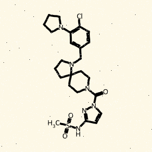 CS(=O)(=O)Nc1ccn(C(=O)N2CCC3(CCCN3Cc3ccc(Cl)c(N4CCCC4)c3)CC2)n1